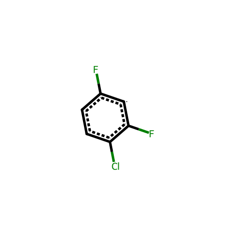 Fc1[c]c(F)c(Cl)cc1